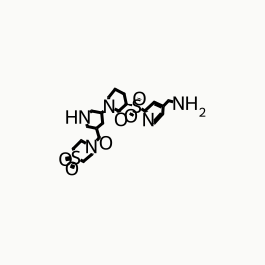 NCc1ccnc(S(=O)(=O)[C@@H]2CCCN(C3CNCC(C(=O)N4CCS(=O)(=O)CC4)C3)C2=O)c1